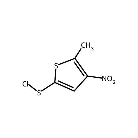 Cc1sc(SCl)cc1[N+](=O)[O-]